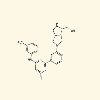 Cc1cc(Nc2nccc(C(F)(F)F)n2)cc(-c2ccnc(N3CC4CNC(CO)C4C3)c2)c1